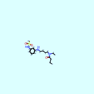 CCCC(=O)N(CC)CCCCNc1cccc(NS(C)(=O)=O)c1